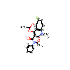 CC(=O)Oc1c(C(=O)N(C(C)=O)c2ccccc2)c(=O)n(C)c2ccc(F)cc12